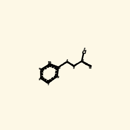 CC(Cl)CCc1ccccc1